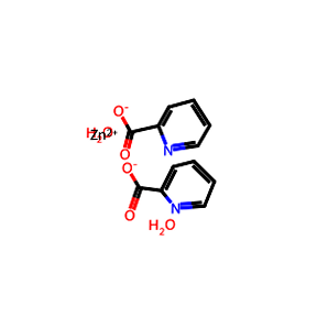 O.O.O=C([O-])c1ccccn1.O=C([O-])c1ccccn1.[Zn+2]